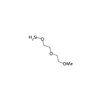 COCCOCCO[SiH2]